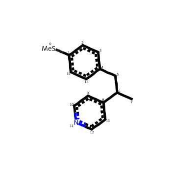 CSc1ccc(CC(C)c2ccncc2)cc1